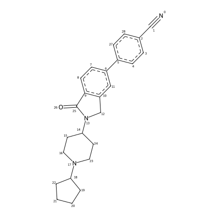 N#Cc1ccc(-c2ccc3c(c2)CN(C2CCN(C4CCCC4)CC2)C3=O)cc1